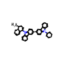 Bc1ccc(-n2c3ccccc3c3cc(-c4ccc5c(c4)c4ccccc4n5-c4ccccc4)ccc32)c2ccccc12